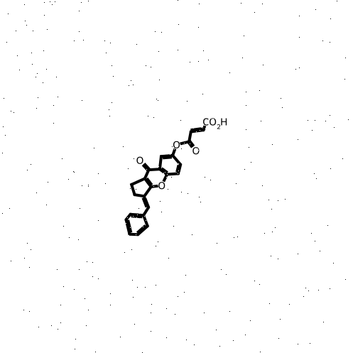 O=C(O)C=CC(=O)Oc1ccc2oc3c(c(=O)c2c1)CCC3=Cc1ccccc1